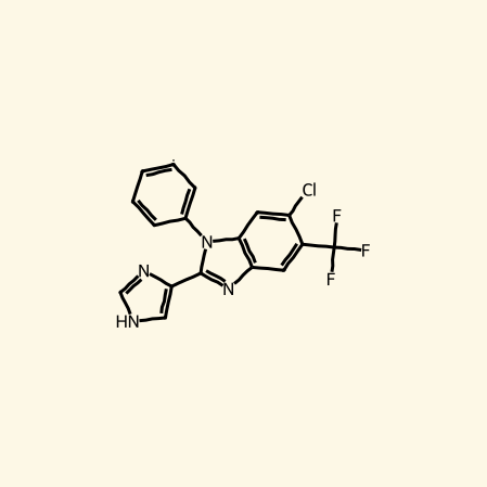 FC(F)(F)c1cc2nc(-c3c[nH]cn3)n(-c3c[c]ccc3)c2cc1Cl